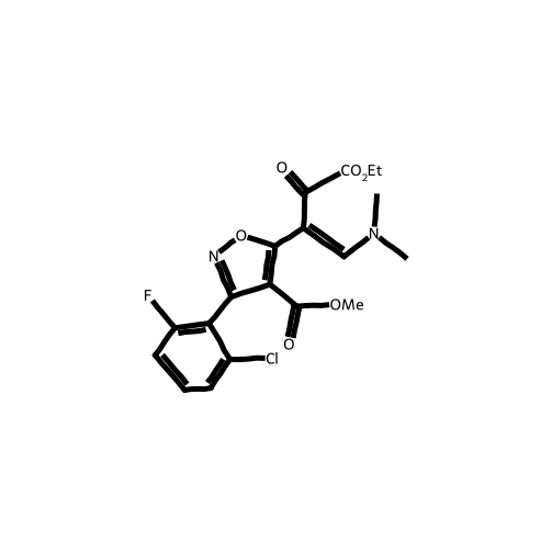 CCOC(=O)C(=O)C(=CN(C)C)c1onc(-c2c(F)cccc2Cl)c1C(=O)OC